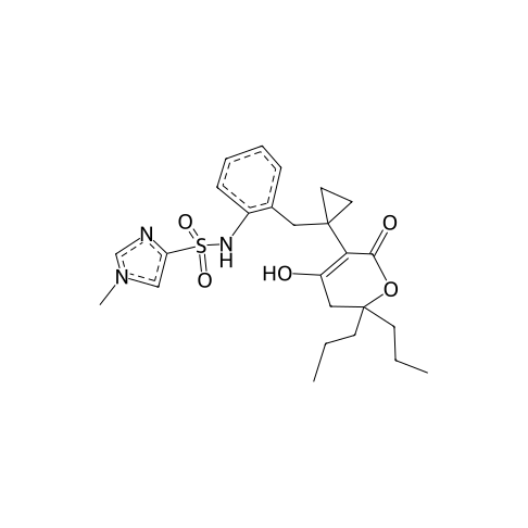 CCCC1(CCC)CC(O)=C(C2(Cc3ccccc3NS(=O)(=O)c3cn(C)cn3)CC2)C(=O)O1